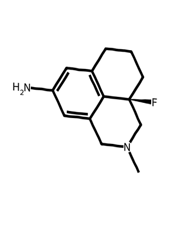 CN1Cc2cc(N)cc3c2[C@](F)(CCC3)C1